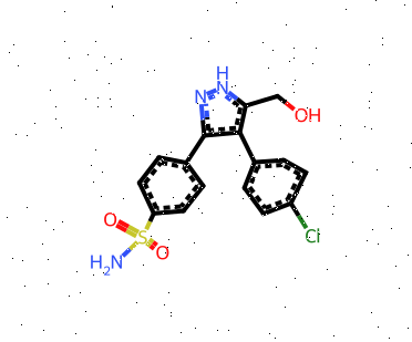 NS(=O)(=O)c1ccc(-c2n[nH]c(CO)c2-c2ccc(Cl)cc2)cc1